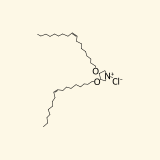 CCCCCCCC/C=C\CCCCCCCCO[C@@H]1C[N+](C)(C)C[C@H]1OCCCCCCCC/C=C\CCCCCCCC.[Cl-]